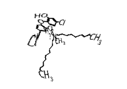 CCCCCCCCCC[N+](C)(C)CCCCCCCCCC.Oc1cc(Cl)ccc1Oc1ccc(Cl)cc1Cl